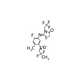 Cc1cc(F)c(N=C2SCC(=O)N2CC(F)(F)F)cc1[S@@+]([O-])CC(C)(F)F